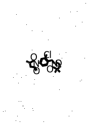 CC1CC(=O)N(c2ccc(CN3OCC(C)(C)C3=O)c(Cl)c2)C1=O